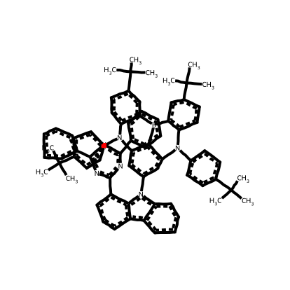 CC(C)(C)c1ccc(N2c3ccc(C(C)(C)C)cc3B3c4cc(C(C)(C)C)ccc4N(c4ccc(C(C)(C)C)cc4)c4cc(-n5c6ccccc6c6cccc(-c7nc(-c8ccccc8)nc(-c8ccccc8)n7)c65)cc2c43)cc1